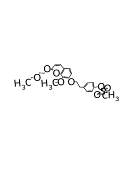 CCOCCOC(=O)/C=C\c1ccc(OCCc2ccc(OS(C)(=O)=O)cc2)c(OC)c1